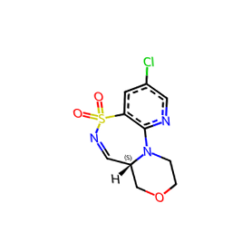 O=S1(=O)N=C[C@H]2COCCN2c2ncc(Cl)cc21